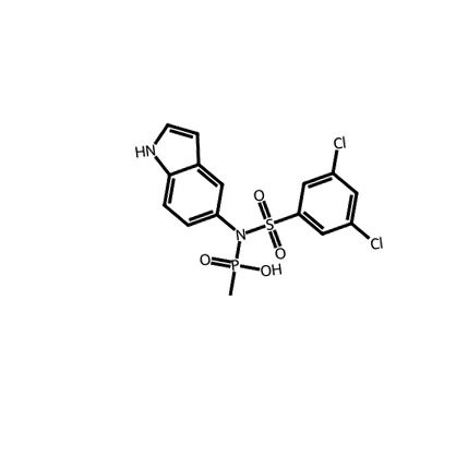 CP(=O)(O)N(c1ccc2[nH]ccc2c1)S(=O)(=O)c1cc(Cl)cc(Cl)c1